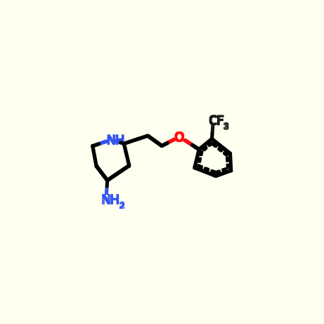 NC1CCNC(CCOc2ccccc2C(F)(F)F)C1